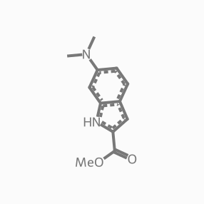 COC(=O)c1cc2ccc(N(C)C)cc2[nH]1